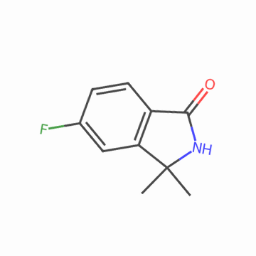 CC1(C)NC(=O)c2ccc(F)cc21